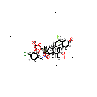 C[C@]12C=CC(=O)C=C1[C@@H](F)C[C@H]1[C@@H]3C[C@H]4CN(Cc5ccc(Cl)cc5)O[C@@]4(C(=O)SC4OOC(=O)O4)[C@@]3(C)C[C@H](O)[C@@]12F